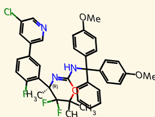 COc1ccc(C(NC2=N[C@](C)(c3cc(-c4cncc(Cl)c4)ccc3F)C(F)(F)C(C)(C)O2)(c2ccccc2)c2ccc(OC)cc2)cc1